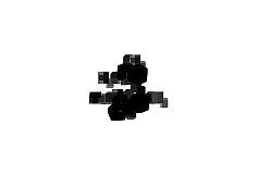 COC(=O)[C@@H]1CCCN1S(=O)(=O)c1ccc(C)c(COc2cccc3c(C)cc(C)nc23)c1C